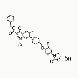 O=C(OCc1ccccc1)c1cn(C2CC2)c2cc(N3CCC(COc4ccc(N5C[C@H](CO)OC5=O)cc4F)CC3)c(F)cc2c1=O